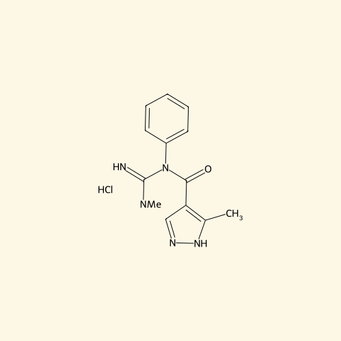 CNC(=N)N(C(=O)c1cn[nH]c1C)c1ccccc1.Cl